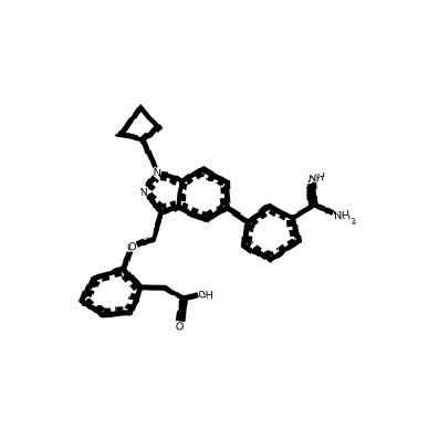 N=C(N)c1cccc(-c2ccc3c(c2)c(COc2ccccc2CC(=O)O)nn3C2CCC2)c1